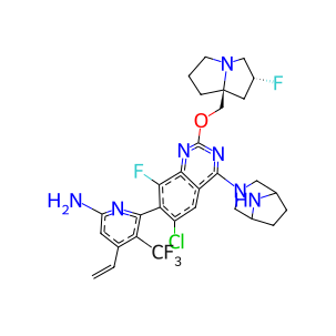 C=Cc1cc(N)nc(-c2c(Cl)cc3c(N4CC5CCC(C4)N5)nc(OC[C@@]45CCCN4C[C@H](F)C5)nc3c2F)c1C(F)(F)F